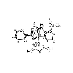 CC(=O)Nc1c([N+](=O)[O-])cccc1[As](=O)(OO)OC(=O)c1ccccc1.OCCCO